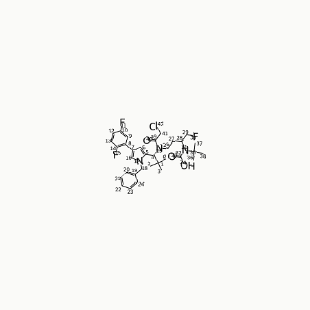 CC(C)(C)[C@H](c1cc(-c2cc(F)ccc2F)cn1Cc1ccccc1)N(CCC(CF)N(C(=O)O)C(C)(C)C)C(=O)CCl